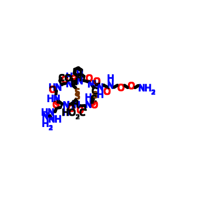 N=C(N)NCCC[C@@H]1NC(=O)[C@@H]2CSSC[C@H](NC(=O)[C@H](CC(=O)O)NC(=O)CNC1=O)C(=O)N[C@@H](Cc1ccccc1)C(=O)N[C@H](C(=O)NCC(=O)NCCOCCOCCN)CSCC(=O)N[C@@H](CC(=O)O)C(=O)N2